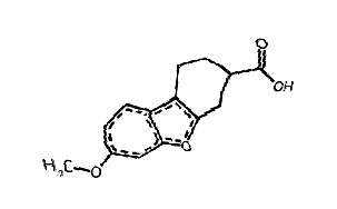 COc1ccc2c3c(oc2c1)CC(C(=O)O)CC3